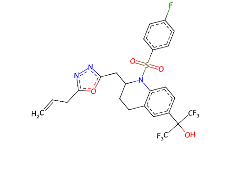 C=CCc1nnc(CC2CCc3cc(C(O)(C(F)(F)F)C(F)(F)F)ccc3N2S(=O)(=O)c2ccc(F)cc2)o1